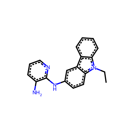 CCn1c2ccccc2c2cc(Nc3ncccc3N)ccc21